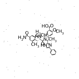 CN[C@@H](Cc1c(C)cc(C(N)=O)cc1C)C(=O)N(Cc1ccc(OC)c(C(=O)O)c1)[C@@H](C)c1nc(-c2ccccc2)c[nH]1